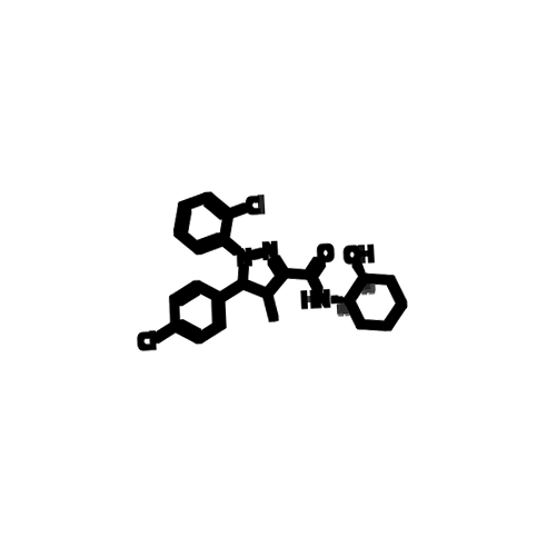 CC1C(C(=O)N[C@H]2CCCC[C@@H]2O)=NN(c2ccccc2Cl)C1c1ccc(Cl)cc1